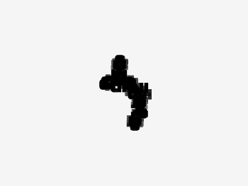 CC1COCCN1c1nc(-c2ccc(NC(=O)Nc3ccc(C(=O)CN4CCOCC4)cc3)cc2)nc(C2CCOCC2)n1